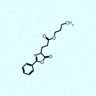 CCCCOC(=O)CCC1N=C(c2ccccc2)OC1=O